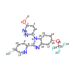 COc1ccc(-n2c(-c3ccc(F)cn3)nc3cc(OC(F)(F)F)ccc32)nn1